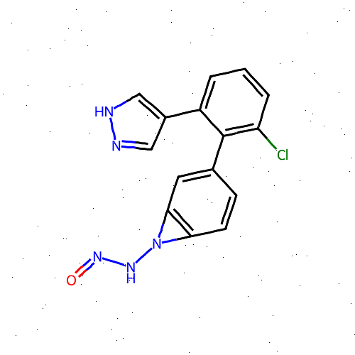 O=NNN1c2ccc(-c3c(Cl)cccc3-c3cn[nH]c3)cc21